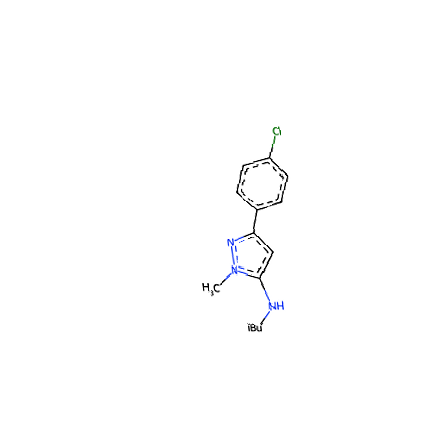 CCC(C)Nc1cc(-c2ccc(Cl)cc2)nn1C